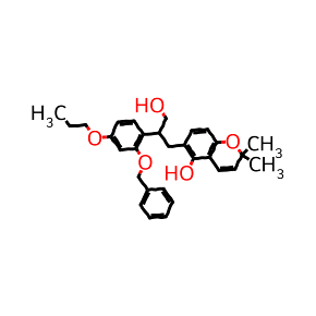 CCCOc1ccc(C(CO)Cc2ccc3c(c2O)C=CC(C)(C)O3)c(OCc2ccccc2)c1